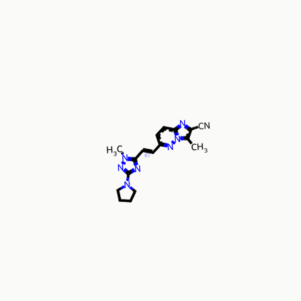 Cc1c(C#N)nc2ccc(/C=C/c3nc(N4CCCC4)nn3C)nn12